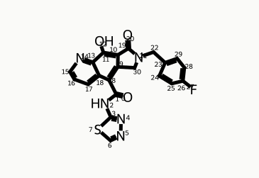 O=C(Nc1nncs1)c1c2c(c(O)c3ncccc13)C(=O)N(Cc1ccc(F)cc1)C2